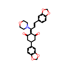 O=C1CC(c2ccc3c(c2)OCO3)CC(=O)C1=C(C=Cc1ccc2c(c1)OCO2)N1CCOCC1